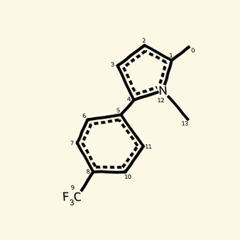 Cc1ccc(-c2ccc(C(F)(F)F)cc2)n1C